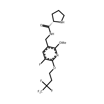 COc1nc(OCCC(F)(F)C(F)(F)F)c(F)cc1CNC(=O)[C@@H]1CCCN1